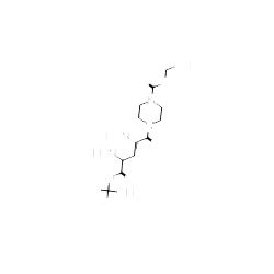 CCOC(=O)N1CCN(C(=O)[C@@H](N)CC(N)C(=O)OC(C)(C)C)CC1